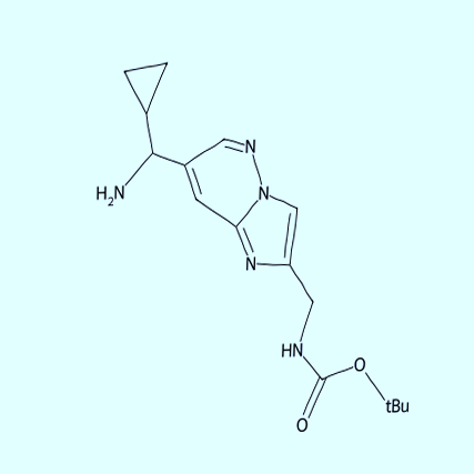 CC(C)(C)OC(=O)NCc1cn2ncc(C(N)C3CC3)cc2n1